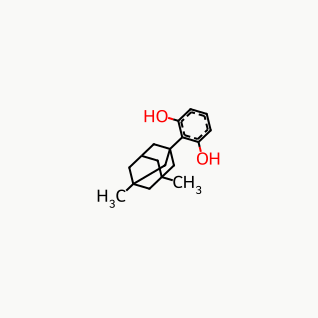 CC12CC3CC(C)(C1)CC(c1c(O)cccc1O)(C3)C2